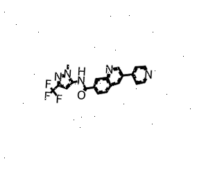 Cn1nc(C(F)(F)F)cc1NC(=O)c1ccc2cc(-c3ccncc3)cnc2c1